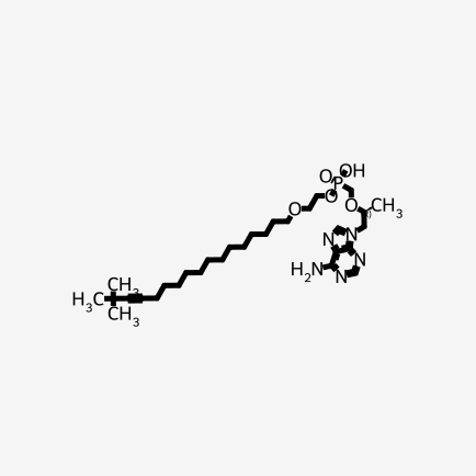 C[C@H](Cn1cnc2c(N)ncnc21)OCP(=O)(O)OCCOCCCCCCCCCCCCCC#CC(C)(C)C